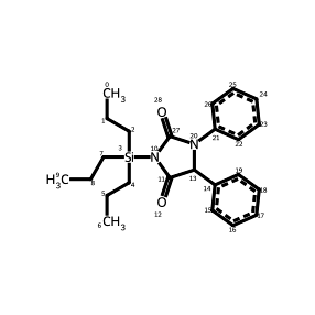 CCC[Si](CCC)(CCC)N1C(=O)C(c2ccccc2)N(c2ccccc2)C1=O